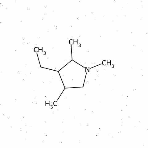 CCC1C(C)CN(C)C1C